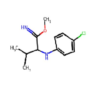 COC(=N)C(Nc1ccc(Cl)cc1)C(C)C